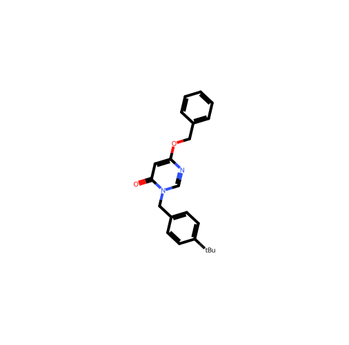 CC(C)(C)c1ccc(Cn2cnc(OCc3ccccc3)cc2=O)cc1